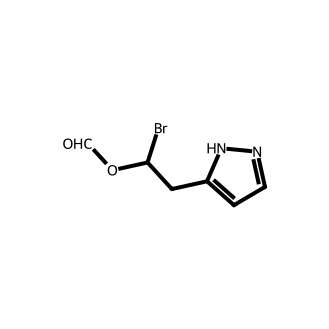 O=COC(Br)Cc1ccn[nH]1